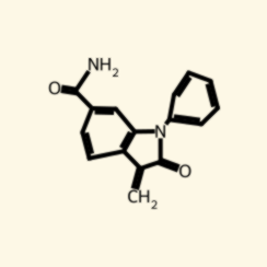 C=C1C(=O)N(c2ccccc2)c2cc(C(N)=O)ccc21